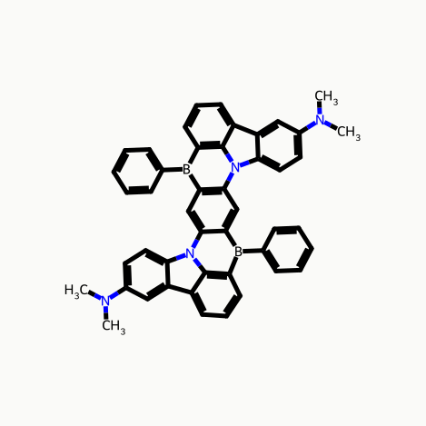 CN(C)c1ccc2c(c1)c1cccc3c1n2-c1cc2c(cc1B3c1ccccc1)-n1c3ccc(N(C)C)cc3c3cccc(c31)B2c1ccccc1